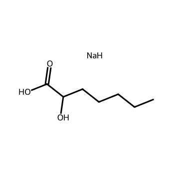 CCCCCC(O)C(=O)O.[NaH]